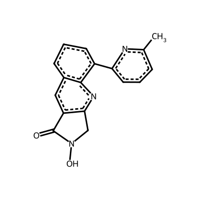 Cc1cccc(-c2cccc3cc4c(nc23)CN(O)C4=O)n1